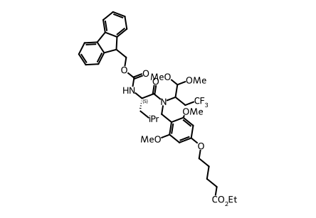 CCOC(=O)CCCCOc1cc(OC)c(CN(C(=O)[C@H](CC(C)C)NC(=O)OCC2c3ccccc3-c3ccccc32)C(CC(F)(F)F)C(OC)OC)c(OC)c1